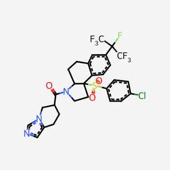 O=C(C1CCc2cncn2C1)N1CCC2(S(=O)(=O)c3ccc(Cl)cc3)c3ccc(C(F)(C(F)(F)F)C(F)(F)F)cc3CCC12